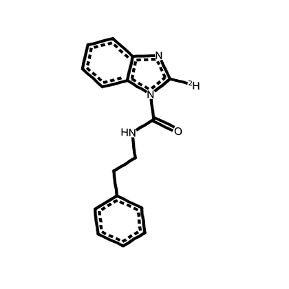 [2H]c1nc2ccccc2n1C(=O)NCCc1ccccc1